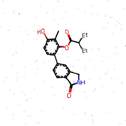 CCC(CC)C(=O)Oc1c(-c2ccc3c(c2)CNC3=O)ccc(O)c1C